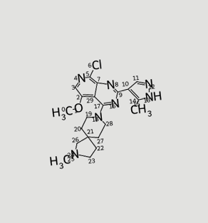 COc1cnc(Cl)c2nc(-c3cn[nH]c3C)nc(N3CCC4(CCN(C)C4)CC3)c12